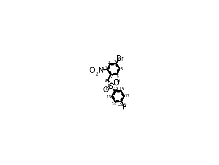 O=[N+]([O-])c1cc(Br)ccc1CS(=O)(=O)c1ccc(F)cc1